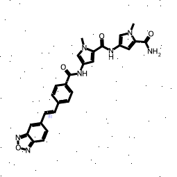 Cn1cc(NC(=O)c2cc(NC(=O)c3ccc(/C=C/c4ccc5nonc5c4)cc3)cn2C)cc1C(N)=O